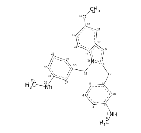 CNc1cccc(Cc2cc3cc(OC)ccc3n2Cc2cccc(NC)c2)c1